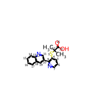 CC(C)(Sc1cccnc1-c1cnc2ccccc2c1)C(=O)O